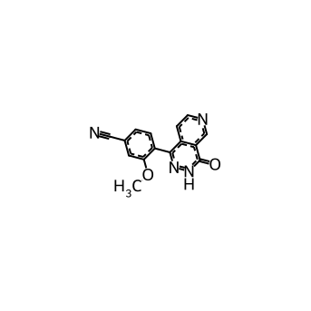 COc1cc(C#N)ccc1-c1n[nH]c(=O)c2cnccc12